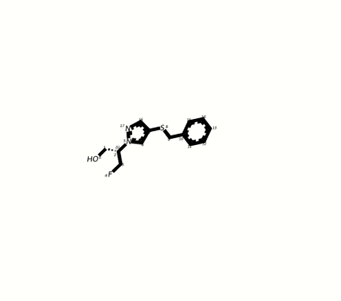 OC[C@@H](CF)n1cc(SCc2ccccc2)cn1